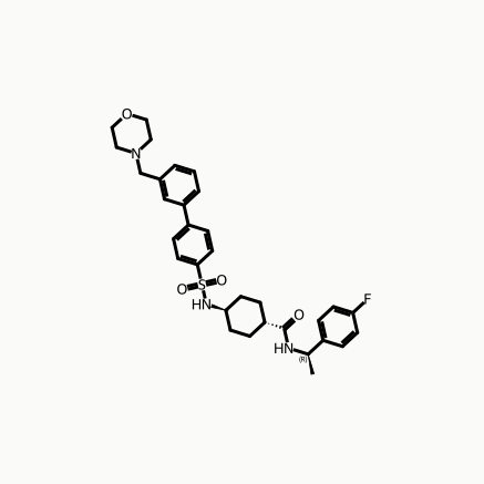 C[C@@H](NC(=O)[C@H]1CC[C@H](NS(=O)(=O)c2ccc(-c3cccc(CN4CCOCC4)c3)cc2)CC1)c1ccc(F)cc1